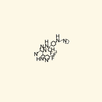 C[C@@H](Nc1ncc(C#N)c(-c2c[nH]c3ncc(C(F)(F)F)cc23)n1)c1ccc(NCCN2CCCC2)cc1